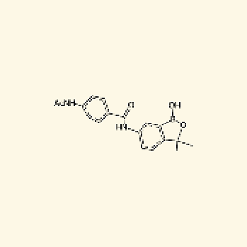 CC(=O)Nc1ccc(C(=O)Nc2ccc3c(c2)B(O)OC3(C)C)cc1